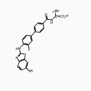 CC[C@H](C)[C@H](NC(=O)c1ccc(-c2ccc(Nc3nc4ccc(C(C)C)cc4s3)c(F)c2)cc1)C(=O)O